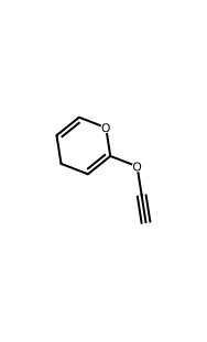 C#COC1=CCC=CO1